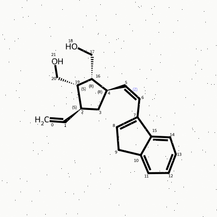 C=C[C@@H]1C[C@H](/C=C\C2=CCc3ccccc32)[C@@H](CO)[C@H]1CO